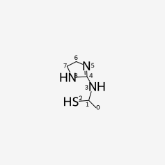 CC(S)NC1=NCCN1